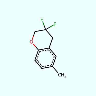 Cc1ccc2c(c1)CC(F)(F)CO2